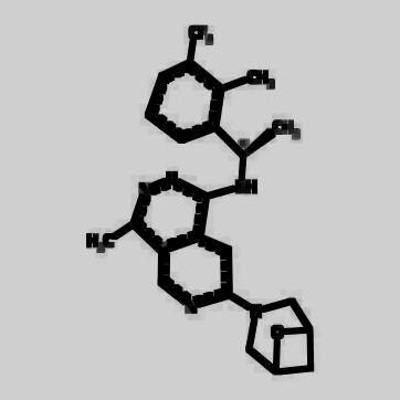 Cc1c([C@@H](C)Nc2nnc(C)c3cnc(N4CC5CC(C4)O5)cc23)cccc1C(F)(F)F